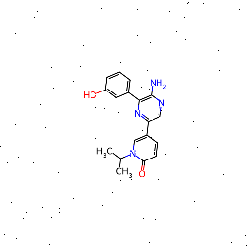 CC(C)n1cc(-c2cnc(N)c(-c3cccc(O)c3)n2)ccc1=O